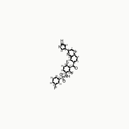 O=C(c1ccc2ncc(-c3cn[nH]c3)nc2c1)c1c(F)ccc(NS(=O)(=O)c2cccc(F)c2)c1F